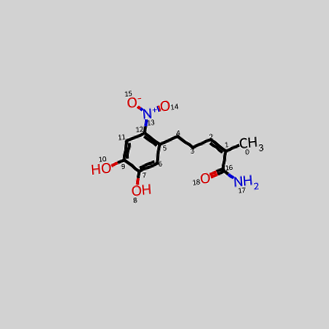 CC(=CCCc1cc(O)c(O)cc1[N+](=O)[O-])C(N)=O